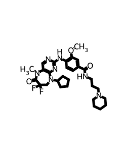 COc1cc(C(=O)NCCCN2CCCCC2)ccc1Nc1ncc2c(n1)N(C1CCCC1)CC(F)(F)C(=O)N2C